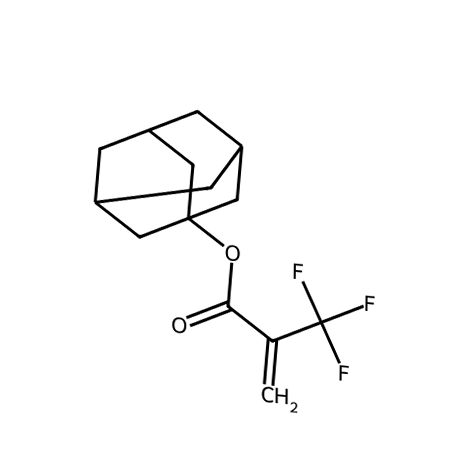 C=C(C(=O)OC12CC3CC(CC(C3)C1)C2)C(F)(F)F